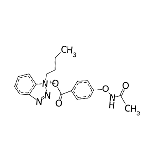 CCCC[N+]1(OC(=O)c2ccc(ONC(C)=O)cc2)N=Nc2ccccc21